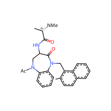 CN[C@@H](C)C(=O)NC1CN(C(C)=O)c2ccccc2N(Cc2c(C)ccc3ccccc23)C1=O